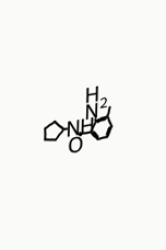 Cc1cccc(C(=O)NC2CCCC2)c1N